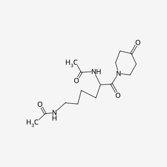 CC(=O)NCCCCC(NC(C)=O)C(=O)N1CCC(=O)CC1